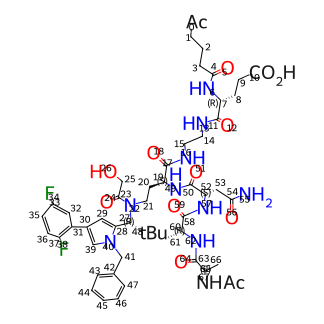 CC(=O)CCCC(=O)N[C@H](CCC(=O)O)C(=O)NCCNC(=O)[C@H](CCN(C(=O)CO)[C@@H](c1cc(-c2cc(F)ccc2F)cn1Cc1ccccc1)C(C)(C)C)NC(=O)[C@H](CC(N)=O)NC(=O)[C@@H](C)NC(=O)[C@H](C)NC(C)=O